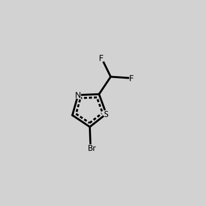 FC(F)c1ncc(Br)s1